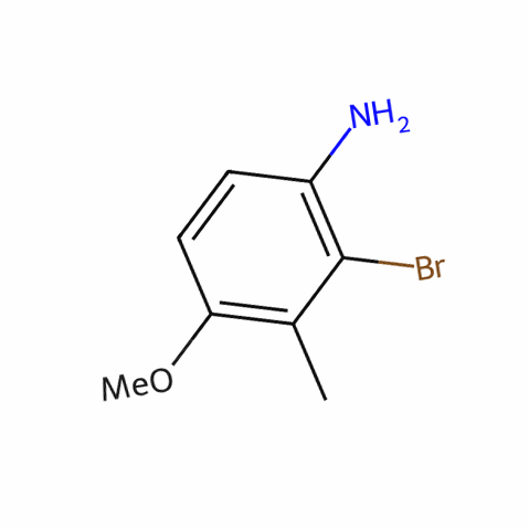 COc1ccc(N)c(Br)c1C